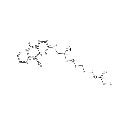 C=CC(=O)OCCCCOCC(O)COc1ccc2sc3ccccc3c(=O)c2c1